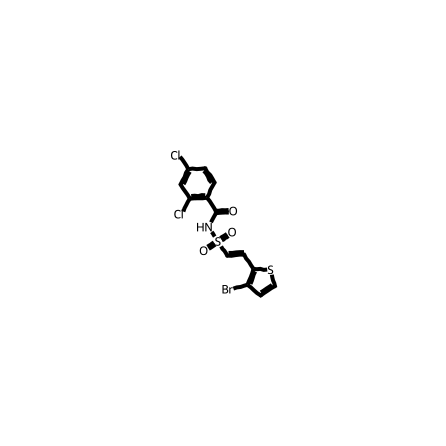 O=C(NS(=O)(=O)C=Cc1sccc1Br)c1ccc(Cl)cc1Cl